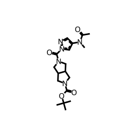 CC(=O)N(C)c1cnn(C(=O)N2CC3CN(C(=O)OC(C)(C)C)CC3C2)c1